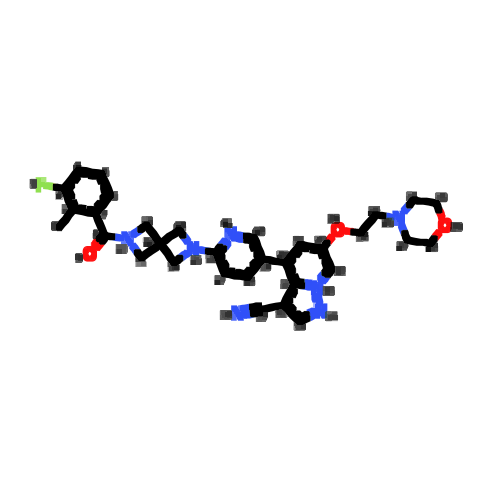 Cc1c(F)cccc1C(=O)N1CC2(C1)CN(c1ccc(-c3cc(OCCN4CCOCC4)cn4ncc(C#N)c34)cn1)C2